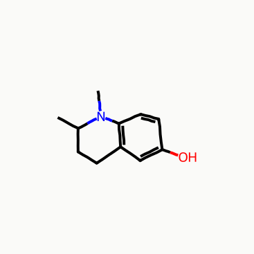 CC1CCc2cc(O)ccc2N1C